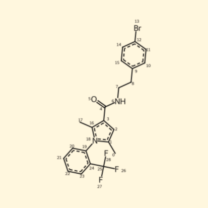 Cc1cc(C(=O)NCCc2ccc(Br)cc2)c(C)n1-c1ccccc1C(F)(F)F